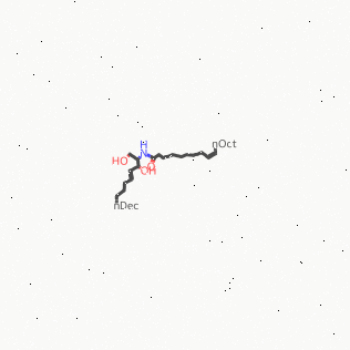 CCCCCCCC/C=C\CCCCCCCC(=O)NC(CO)C(O)/C=C/CCCCCCCCCCCCC